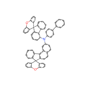 c1ccc(-c2ccc(N(c3ccc4ccc5c(c4c3)-c3ccccc3C53c4ccccc4Oc4ccccc43)c3cccc4c3-c3ccccc3C43c4ccccc4Oc4ccccc43)cc2)cc1